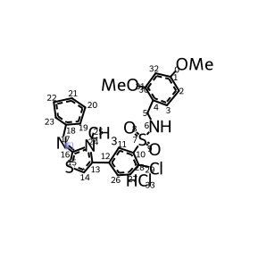 COc1ccc(CNS(=O)(=O)c2cc(-c3cs/c(=N/c4ccccc4)n3C)ccc2Cl)c(OC)c1.Cl